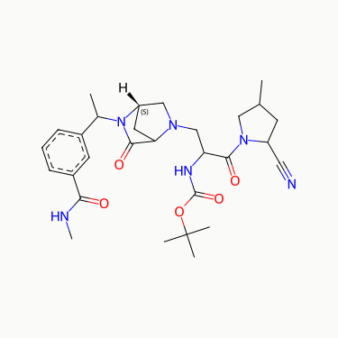 CNC(=O)c1cccc(C(C)N2C(=O)C3C[C@H]2CN3CC(NC(=O)OC(C)(C)C)C(=O)N2CC(C)CC2C#N)c1